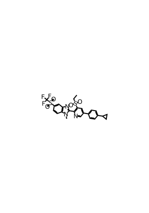 CCS(=O)(=O)c1cc(-c2ccc(C3CC3)cc2)cnc1-c1nc2cc(S(=O)(=O)C(F)(F)F)ccc2n1C